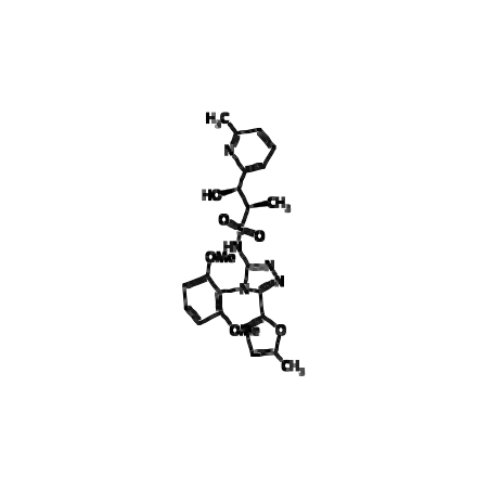 COc1cccc(OC)c1-n1c(NS(=O)(=O)[C@H](C)[C@@H](O)c2cccc(C)n2)nnc1-c1ccc(C)o1